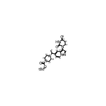 CC(c1ccn2ncc(N3CCC(=O)NC3=O)c2c1)N1CCN(C(=O)OC(C)(C)C)CC1